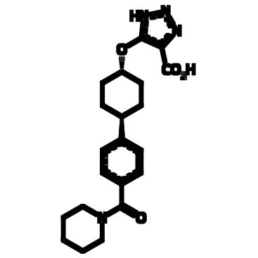 O=C(O)c1nn[nH]c1O[C@H]1CC[C@H](c2ccc(C(=O)N3CCCCC3)cc2)CC1